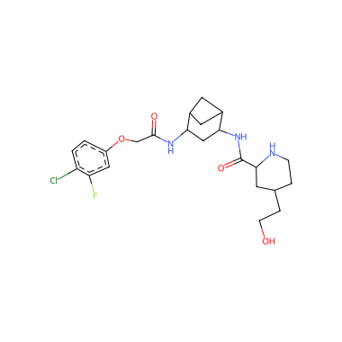 O=C(COc1ccc(Cl)c(F)c1)NC1CC(NC(=O)C2CC(CCO)CCN2)C2CC1C2